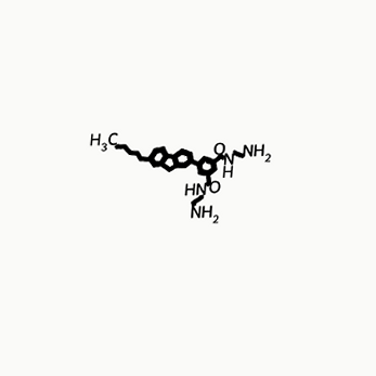 CCCCCCc1ccc2c(c1)Cc1cc(-c3cc(C(=O)NCCN)cc(C(=O)NCCN)c3)ccc1-2